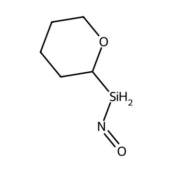 O=N[SiH2]C1CCCCO1